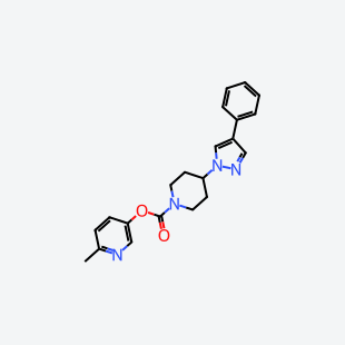 Cc1ccc(OC(=O)N2CCC(n3cc(-c4ccccc4)cn3)CC2)cn1